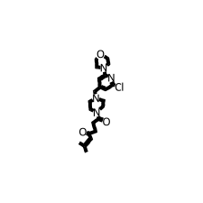 CC(C)=CC(=O)CCC(=O)N1CCN(Cc2cc(Cl)nc(N3CCOCC3)c2)CC1